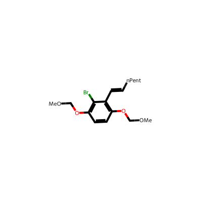 CCCCCC=Cc1c(OCOC)ccc(OCOC)c1Br